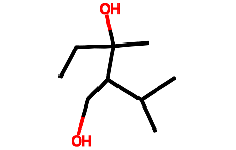 CCC(C)(O)C(CO)C(C)C